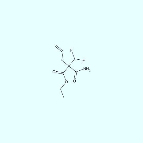 C=CCC(C(N)=O)(C(=O)OCC)C(F)F